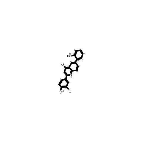 CC(=O)c1cc(-c2ccc(O)c(F)c2)nc2ccc(-c3ccccc3O)cc12